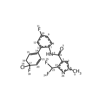 Cn1cc(C(=O)Nc2ccc(F)cc2C2=CCC(F)(Cl)C=C2)c(C(F)F)n1